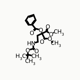 COC(=O)C(CCNC(=O)OC(C)(C)C)(OC(=O)c1ccccc1)C(=O)OC